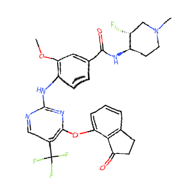 COc1cc(C(=O)N[C@@H]2CCN(C)C[C@H]2F)ccc1Nc1ncc(C(F)(F)F)c(Oc2cccc3c2C(=O)CC3)n1